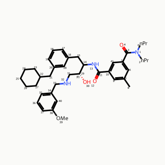 CCCN(CCC)C(=O)c1cc(C)cc(C(=O)NC(Cc2cccc(CC3CCCCC3)c2)[C@H](O)CNCc2cccc(OC)c2)c1